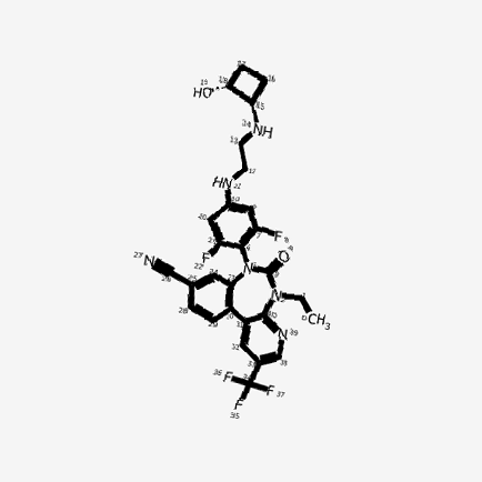 CCN1C(=O)N(c2c(F)cc(NCCN[C@@H]3CC[C@H]3O)cc2F)c2cc(C#N)ccc2-c2cc(C(F)(F)F)cnc21